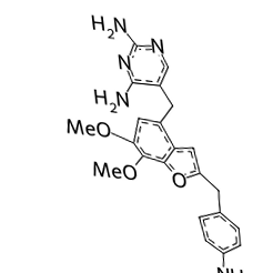 COc1cc(Cc2cnc(N)nc2N)c2cc(Cc3ccc(N)cc3)oc2c1OC